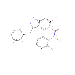 Cc1cccc(Cc2n[nH]c3cc(O)c(C(=O)N(C)c4ccccc4C)cc23)c1